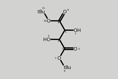 CC(C)(C)OC(=O)C(O)C(O)C(=O)OC(C)(C)C